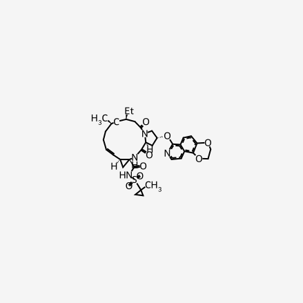 CC[C@H]1CC(=O)N2C[C@H](Oc3nccc4c5c(ccc34)OCCO5)C[C@H]2C(=O)N[C@]2(C(=O)NS(=O)(=O)C3(C)CC3)C[C@H]2/C=C\CC[C@@H](C)C1